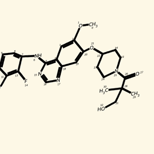 COc1cc2c(Nc3cccc(Cl)c3F)ncnc2cc1OC1CCN(C(=O)C(C)(C)CO)CC1